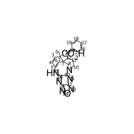 CC1(C(=O)O)C=CC2=CC13CN(CCC3Cc1ccccc1)c1nc3nonc3nc1N2